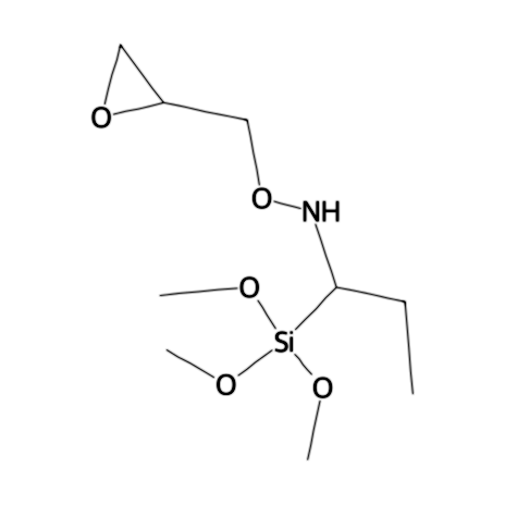 CCC(NOCC1CO1)[Si](OC)(OC)OC